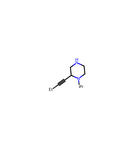 CCC#CC1CNCCN1C(C)C